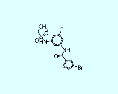 CCS(=O)(=O)Nc1cc(F)cc(NC(=O)c2cc(Br)cs2)c1